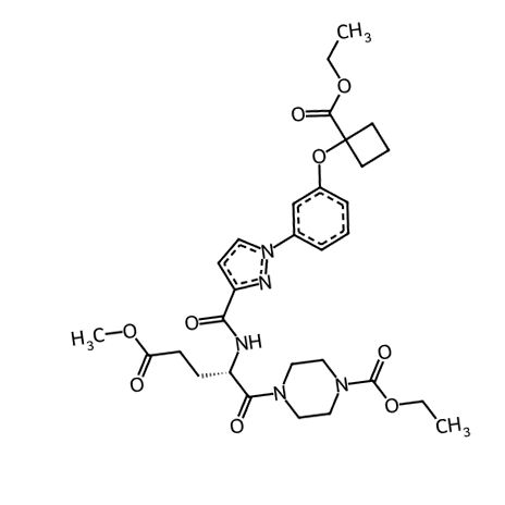 CCOC(=O)N1CCN(C(=O)[C@H](CCC(=O)OC)NC(=O)c2ccn(-c3cccc(OC4(C(=O)OCC)CCC4)c3)n2)CC1